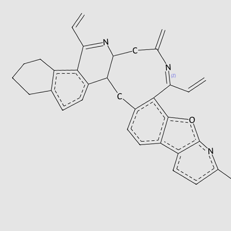 C=CC1=NC2CC(=C)/N=C(/C=C)c3c(ccc4c3oc3nc(C)ccc34)CC2c2ccc3c(c21)CCCC3